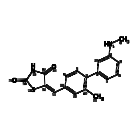 CNc1cccc(-c2ccc(C=C3SC(=O)NC3=O)cc2C)c1